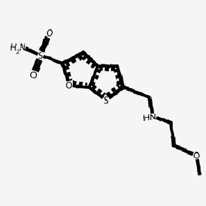 COCCNCc1cc2cc(S(N)(=O)=O)oc2s1